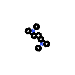 c1ccc(-n2c3ccccc3c3cc4c(cc32)-c2ccc3c5ccccc5n(-c5ccccc5)c3c2CC4)cc1